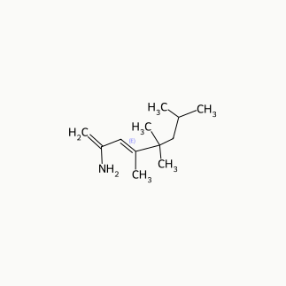 C=C(N)/C=C(\C)C(C)(C)CC(C)C